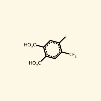 O=C(O)c1cc(I)c(C(F)(F)F)cc1C(=O)O